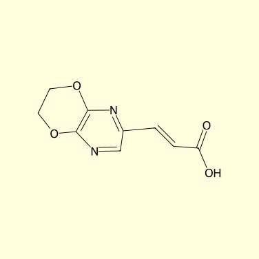 O=C(O)C=Cc1cnc2c(n1)OCCO2